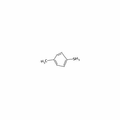 [CH2]c1ccc([SiH3])cc1